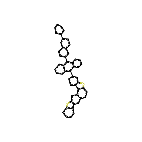 c1ccc(-c2ccc3cc(-c4c5ccccc5c(-c5ccc6c(c5)sc5ccc7cc8c(cc7c56)sc5ccccc58)c5ccccc45)ccc3c2)cc1